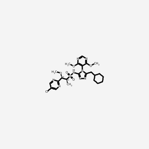 COc1ncnc(OC)c1-n1c(CC2CCCCC2)nnc1NS(=O)(=O)[C@@H](C)[C@H](OC)c1ncc(Cl)cn1